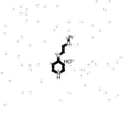 CC(C)OCCOC1CCNCC1.Cl